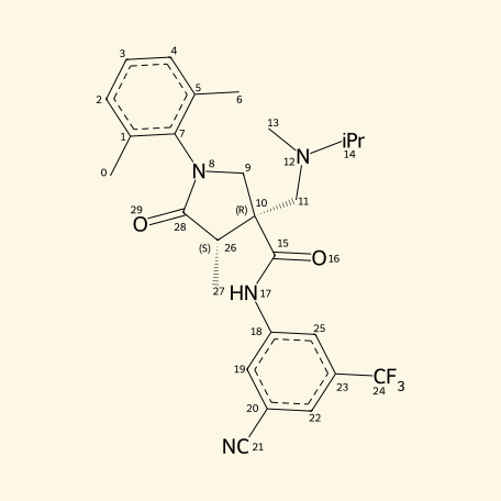 Cc1cccc(C)c1N1C[C@@](CN(C)C(C)C)(C(=O)Nc2cc(C#N)cc(C(F)(F)F)c2)[C@H](C)C1=O